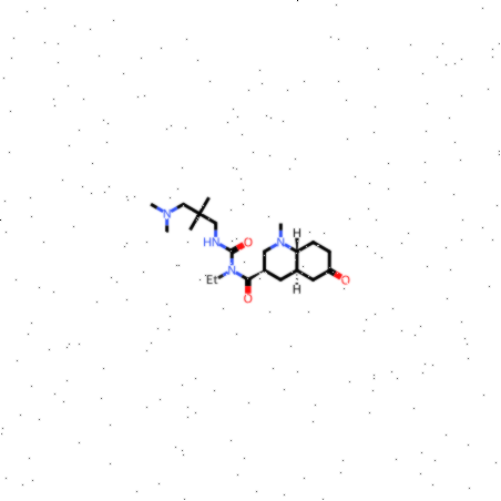 CCN(C(=O)NCC(C)(C)CN(C)C)C(=O)[C@@H]1C[C@@H]2CC(=O)CC[C@H]2N(C)C1